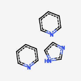 c1c[nH]cn1.c1ccncc1.c1ccncc1